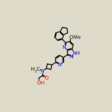 COc1cc2[nH]nc(-c3ccc(C4CC(N(C)C(=O)CO)C4)nc3)c2nc1-c1cccc2c1CCC2